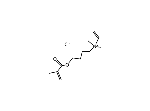 C=C[N+](C)(C)CCCCOC(=O)C(=C)C.[Cl-]